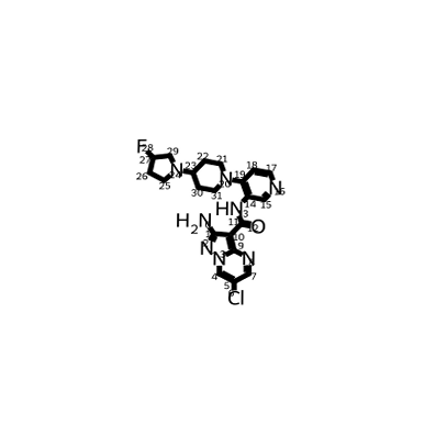 Nc1nn2cc(Cl)cnc2c1C(=O)Nc1cnccc1N1CCC(N2CCC(F)C2)CC1